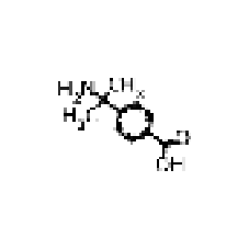 CC(C)(N)c1ccc(C(=O)O)cc1